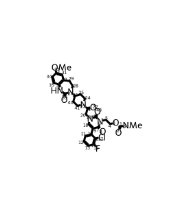 CNC(=O)OCCn1c(=O)c(-c2cccc(F)c2Cl)cn(CC(=O)N2CCC(N3CCc4cc(OC)ccc4NC3=O)CC2)c1=O